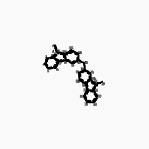 Cn1c2ccccc2c2cc(Cc3ccc4c5ccccc5n(C)c4c3)ccc21